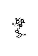 CC[C@H](CC(=O)O)c1cccc(OCc2ccc(-c3cc(OC)ccc3F)c([C@H]3CCCCC3(C)C)c2)c1